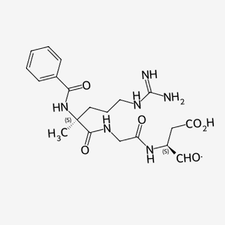 C[C@@](CCCNC(=N)N)(NC(=O)c1ccccc1)C(=O)NCC(=O)N[C@H]([C]=O)CC(=O)O